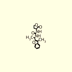 Cc1c(C(C)NC(=O)NC2CCOC2=O)oc2ccccc12